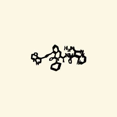 C[C@H](NC(=O)c1c(N)nn2cccnc12)c1cc2cccc(C#Cc3cnn4c3OCC4)c2c(=O)n1-c1ccccc1